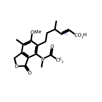 COc1c(C)c2c(c(N(C)C(=O)C(F)(F)F)c1CCC(C)/C=C/C(=O)O)C(=O)OC2